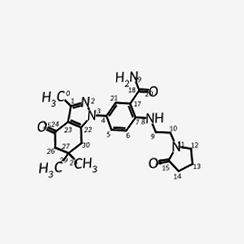 Cc1nn(-c2ccc(NCCN3CCCC3=O)c(C(N)=O)c2)c2c1C(=O)CC(C)(C)C2